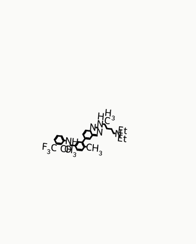 CCN(CC)CCCC(C)Nc1ncc2cc(-c3cc(C(=O)Nc4cccc(C(F)(F)F)c4C)ccc3C)ccc2n1